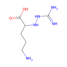 N=C(N)NNC(CCCN)C(=O)O